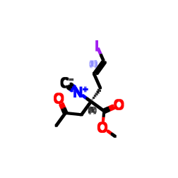 [C-]#[N+][C@](C/C=C/I)(CC(C)=O)C(=O)OC